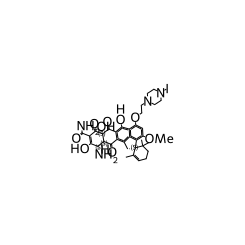 COc1cc(OCCN2CCN(I)CC2)c2c(O)c3c(c4c2c1[C@]1(C4)C(C)=CCCC1(C)C)C(=O)[C@H]1[C@H](N)C(O)=C(C(N)=O)C(=O)[C@@]1(O)C3=O